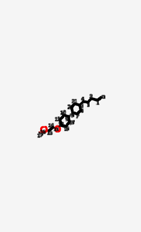 CCCCC[C@H]1CC[C@H](C2CCC(OCCOC)CC2)CC1